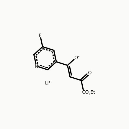 CCOC(=O)C(=O)C=C([O-])c1cncc(F)c1.[Li+]